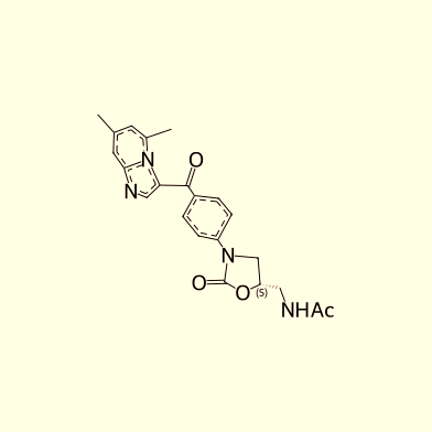 CC(=O)NC[C@H]1CN(c2ccc(C(=O)c3cnc4cc(C)cc(C)n34)cc2)C(=O)O1